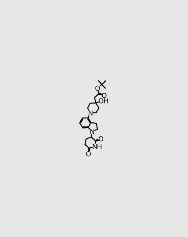 CC(C)(C)OC(=O)CC1(O)CCN(c2cccc3c2CCN3C2CCC(=O)NC2=O)CC1